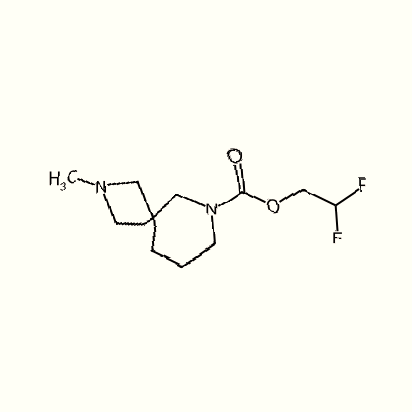 CN1CC2(CCCN(C(=O)OCC(F)F)C2)C1